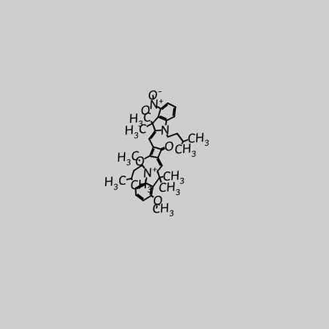 COC1=C(/C=C2\N(CCC(C)C)c3cccc([N+](=O)[O-])c3C2(C)C)C(=O)/C1=C/C1=[N+](CCC(C)C)c2cccc(OC)c2C1(C)C